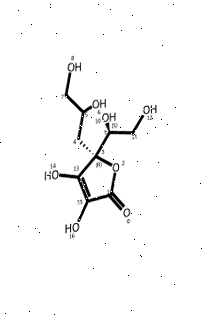 O=C1O[C@](CC(O)CO)([C@@H](O)CO)C(O)=C1O